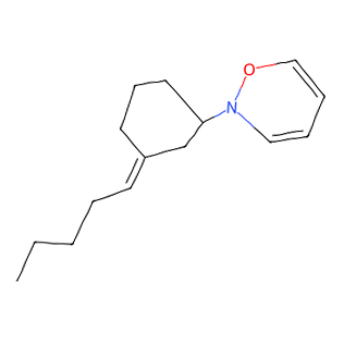 CCCCC=C1CCCC(N2C=CC=CO2)C1